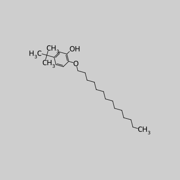 CCCCCCCCCCCCCCOc1ccc(C(C)(C)C)cc1O